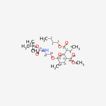 CCCCOC(=O)C(CC)CC(CC(C)C(=O)OCCNC(=O)OC(C)(C)C)C(=O)OC